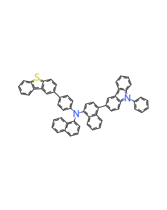 c1ccc(-n2c3ccccc3c3cc(-c4ccc(N(c5ccc(-c6ccc7sc8ccccc8c7c6)cc5)c5cccc6ccccc56)c5ccccc45)ccc32)cc1